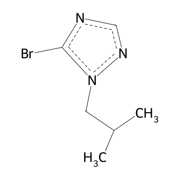 CC(C)Cn1ncnc1Br